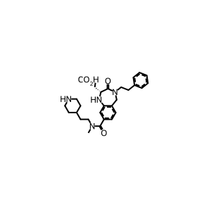 CN(CCC1CCNCC1)C(=O)c1ccc2c(c1)N[C@H](CC(=O)O)C(=O)N(CCc1ccccc1)C2